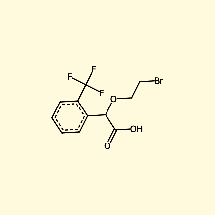 O=C(O)C(OCCBr)c1ccccc1C(F)(F)F